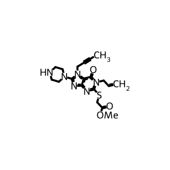 C=CCn1c(SCC(=O)OC)nc2nc(N3CCNCC3)n(CC#CC)c2c1=O